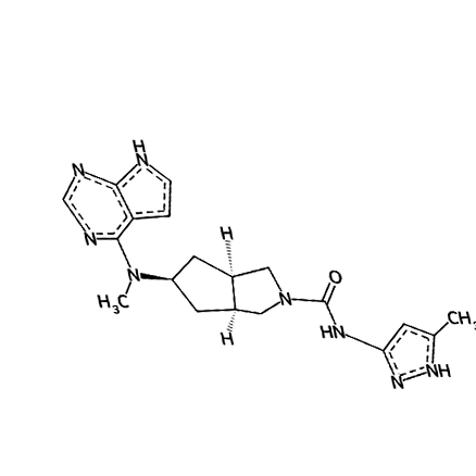 Cc1cc(NC(=O)N2C[C@H]3C[C@@H](N(C)c4ncnc5[nH]ccc45)C[C@H]3C2)n[nH]1